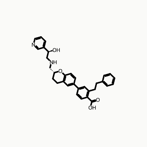 O=C(O)c1ccc(-c2ccc3c(c2)CC[C@H](CNC[C@H](O)c2cccnc2)O3)cc1CCc1ccccc1